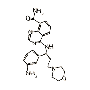 NC(=O)c1cccc2c(NC(CCN3CCOCC3)c3cccc(N)c3)ncnc12